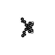 Cc1cc2c3c(c1)N(c1cccc4c1OCCCO4)c1cc(-c4ccc5c(c4)C(C)(C)c4ccccc4-5)ccc1B3c1ccc(-c3ccc4c(c3)C(C)(C)c3ccccc3-4)cc1N2c1cccc2c1OCCCO2